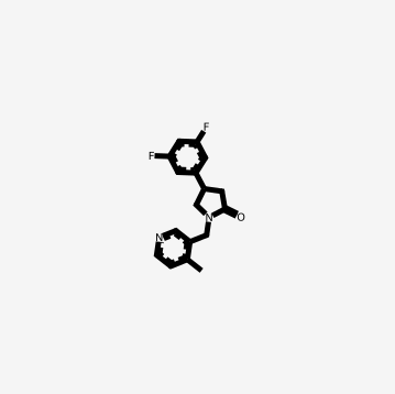 Cc1ccncc1CN1CC(c2cc(F)cc(F)c2)CC1=O